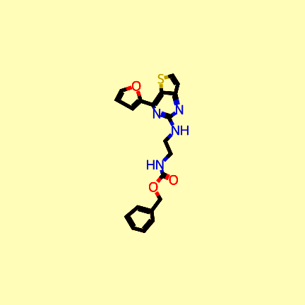 O=C(NCCNc1nc(-c2ccco2)c2sccc2n1)OCc1ccccc1